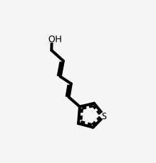 OC/C=C/C=C/c1ccsc1